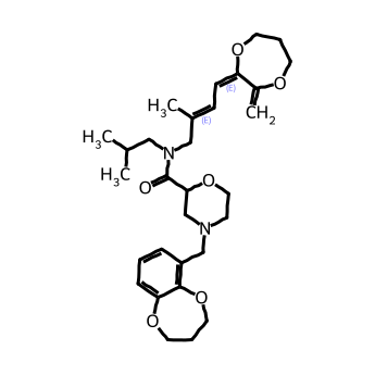 C=C1OCCCO/C1=C/C=C(\C)CN(CC(C)C)C(=O)C1CN(Cc2cccc3c2OCCCO3)CCO1